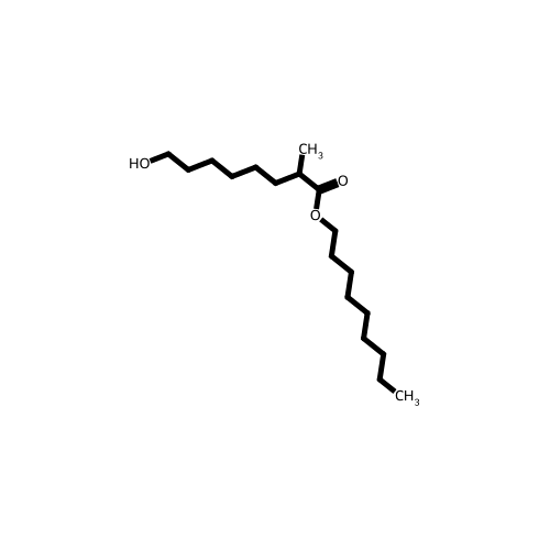 CCCCCCCCCOC(=O)C(C)CCCCCCO